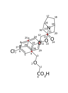 O=C(O)COCc1cc(Cl)ccc1OCC(=O)N1C2CCC1CC(Oc1ccc(F)cc1)C2